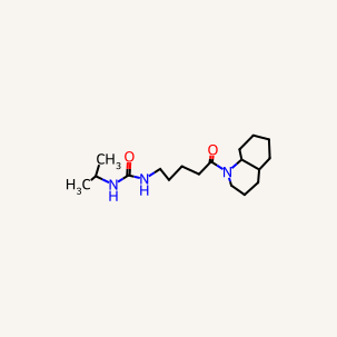 CC(C)NC(=O)NCCCCC(=O)N1CCCC2CCCCC21